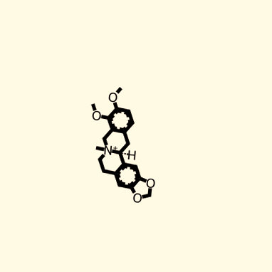 COc1ccc2c(c1OC)C[N+]1(C)CCc3cc4c(cc3[C@@H]1C2)OCO4